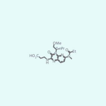 CCC[C@H](COC)n1c(=O)c(NCCC(=O)O)nc2ccc(N(C)C(=O)CC)nc21